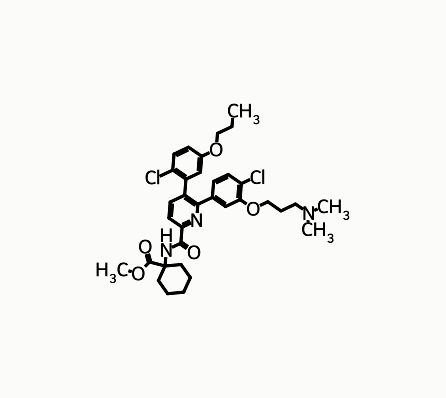 CCCOc1ccc(Cl)c(-c2ccc(C(=O)NC3(C(=O)OC)CCCCC3)nc2-c2ccc(Cl)c(OCCCN(C)C)c2)c1